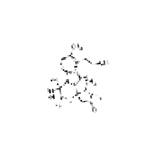 [2H]C1([2H])O[C@@](CC=O)(C(C)C)c2[nH]c3c(CCC)c(C)ccc3c2C1([2H])[2H]